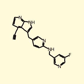 C#Cc1ccnc2[nH]cc(Cc3ccc(NCc4cncc(F)c4)nc3)c12